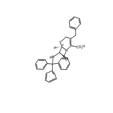 O=C(O)C1=C(Cc2ccccc2)CS[C@@H]2C(NC(c3ccccc3)(c3ccccc3)c3ccccc3)C(=O)N12